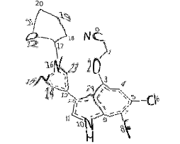 N#CCOc1cc(Cl)c(F)c2[nH]cc(-c3cnn(C4CCCCO4)c3)c12